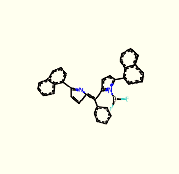 FB(F)n1c(/C(=C2/C=CC(c3cccc4ccccc34)=N2)c2ccccc2)ccc1-c1cccc2ccccc12